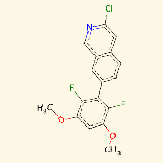 COc1cc(OC)c(F)c(-c2ccc3cc(Cl)ncc3c2)c1F